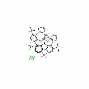 C[CH2][Zr](=[SiH2])([CH2]C)([CH]1c2cc(C(C)(C)C)ccc2-c2ccc(C(C)(C)C)c(C3=CC=CC3)c21)[CH]1c2cc(C(C)(C)C)ccc2-c2ccc(C(C)(C)C)c(C3=CC=CC3)c21.Cl.Cl